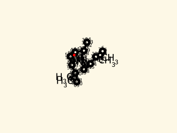 CC1(C)c2ccccc2-c2ccc(-c3ccc4c5ccccc5n(-c5nc(-c6ccc(-c7ccccc7)cc6-c6ccccc6)nc(-n6c7ccccc7c7ccc(-c8ccc9c(c8)C(C)(C)c8ccccc8-9)cc76)n5)c4c3)cc21